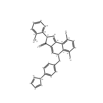 O=c1c2cn(Cc3ccc(-n4cccn4)cc3)c3c(F)ccc(F)c3c-2nn1-c1ncccc1C(F)(F)F